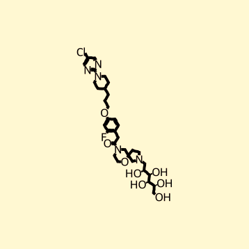 O=C(Cc1ccc(OCCCC2CCN(c3ncc(Cl)cn3)CC2)cc1F)N1CCOC2(CCN(C[C@H](O)[C@@H](O)[C@H](O)[C@H](O)CO)C2)C1